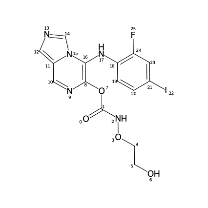 O=C(NOCCO)Oc1ncc2cncn2c1Nc1ccc(I)cc1F